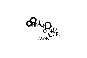 CNC(C)CN(C(=O)C(F)(F)F)C1CCCCN(CC(=O)NC2CCCc3ccccc32)C1=O